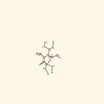 C=C(C(N)C(NSC)C(CC)CI)C(C)(CC)CC